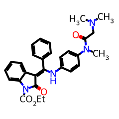 CCOC(=O)N1C(=O)/C(=C(\Nc2ccc(N(C)C(=O)CN(C)C)cc2)c2ccccc2)c2ccccc21